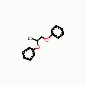 [CH2]CC(COc1ccccc1)Oc1ccccc1